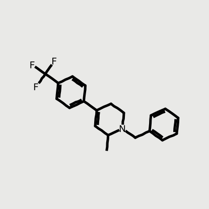 CC1C=C(c2ccc(C(F)(F)F)cc2)CCN1Cc1ccccc1